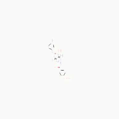 O=C(CN1C[C@@H]2CC(O)(Cc3ccc(C(F)(F)F)cc3)C[C@@H]2C1)c1ccc(O)cc1